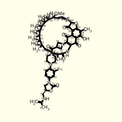 C=C(C)NC[C@H]1CN(c2ccc(N3CCN(C(=O)C4CN(C5=C6NC(=O)/C(C)=C\C=C\[C@H](C)[C@H](O)[C@@H](C)[C@@H](O)[C@@H](C)[C@H](OC(C)=O)[C@H](C)[C@@H](OC)/C=C/O[C@@]7(C)Oc8c(C)c(O)c(c(c8C7=O)C5=O)C6=O)C4)CC3)c(F)c2)C(=O)O1